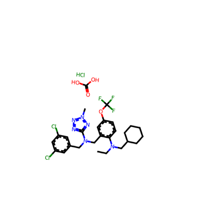 CCN(CC1CCCCC1)c1ccc(OC(F)(F)F)cc1CN(Cc1cc(Cl)cc(Cl)c1)c1nnn(C)n1.Cl.O=C(O)O